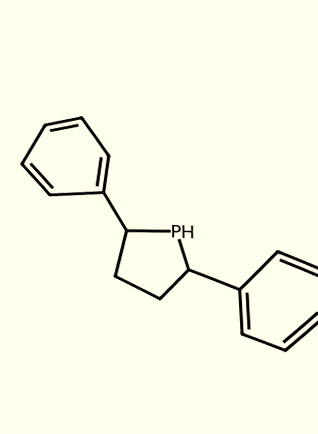 c1ccc(C2CCC(c3ccccc3)P2)cc1